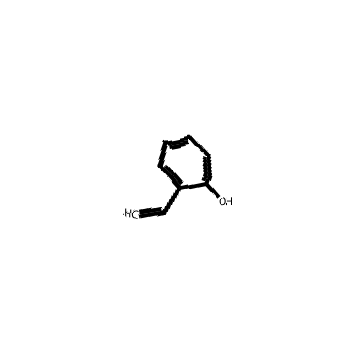 [CH]=Cc1ccccc1O